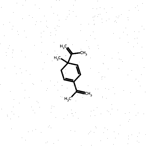 C=C(C)C1=CCC(C)(C(=C)C)C=C1